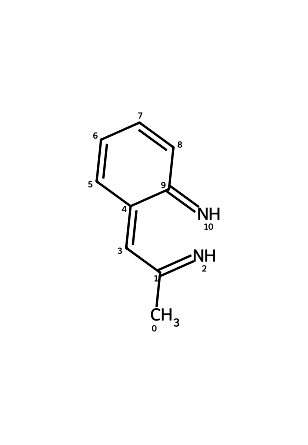 CC(=N)/C=C1/C=CC=CC1=N